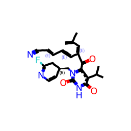 C=C(C)\C=C(/C=C/C=C/C#N)C(=O)c1c(C(C)C)c(=O)[nH]c(=O)n1C[C@H]1C=CN=C(F)C1